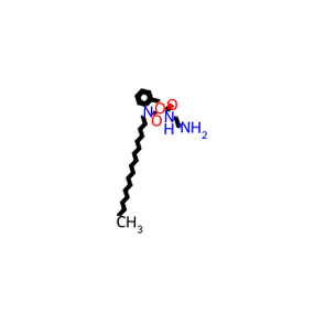 CCCCCCCCCCCCCCCCCCN(C=O)c1ccccc1COC(=O)NCCN